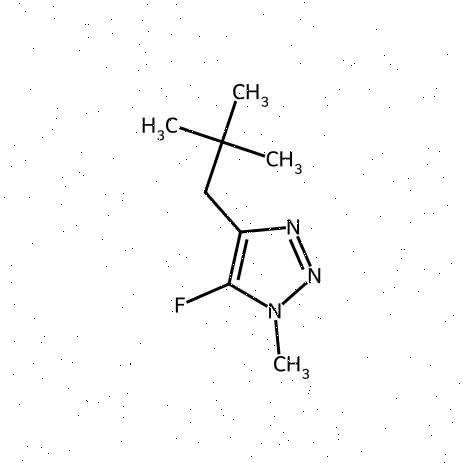 Cn1nnc(CC(C)(C)C)c1F